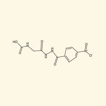 O=C(O)NCC(=O)NNC(=O)c1ccc([N+](=O)[O-])cc1